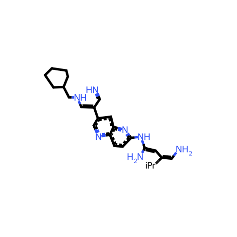 CC(C)C(=C/N)/C=C(\N)Nc1ccc2ncc(/C(C=N)=C/NCC3CCCCC3)cc2n1